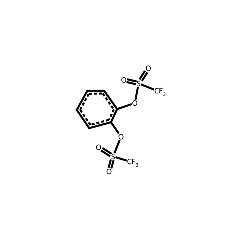 O=S(=O)(Oc1c[c]ccc1OS(=O)(=O)C(F)(F)F)C(F)(F)F